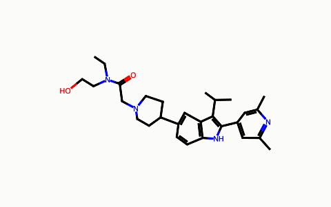 CCN(CCO)C(=O)CN1CCC(c2ccc3[nH]c(-c4cc(C)nc(C)c4)c(C(C)C)c3c2)CC1